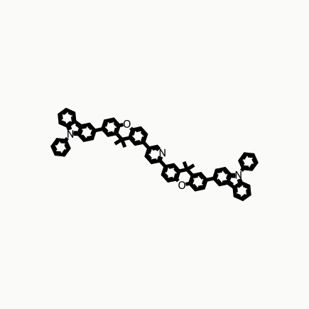 CC1(C)c2cc(-c3ccc(-c4ccc5c(c4)C(C)(C)c4cc(-c6ccc7c(c6)c6ccccc6n7-c6ccccc6)ccc4O5)nc3)ccc2Oc2ccc(-c3ccc4c(c3)c3ccccc3n4-c3ccccc3)cc21